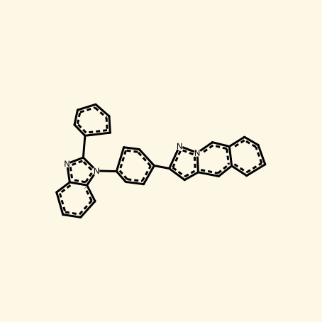 c1ccc(-c2nc3ccccc3n2-c2ccc(-c3cc4cc5ccccc5cn4n3)cc2)cc1